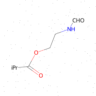 CC(C)C(=O)OCCNC=O